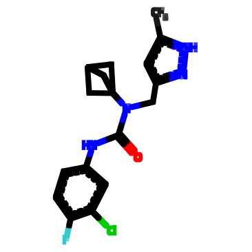 O=C(Nc1ccc(F)c(Cl)c1)N(Cc1cc(C(F)(F)F)[nH]n1)C12CC(C1)C2